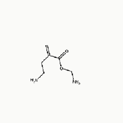 C=C(CCN)C(=O)OCN